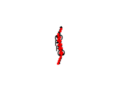 C=CCCCCCC[C@@H]1CO[C@@H](c2ccc(-c3ccc(-c4ccc([C@@H]5OC[C@@H](CCCCCCC=C)C(C)O5)cc4F)cc3)c(F)c2)OC1C